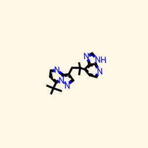 CC(C)(C)c1ccnc2c(CC(C)(C)c3ccnc4[nH]cnc34)cnn12